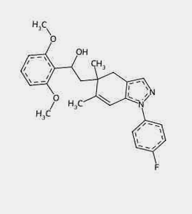 COc1cccc(OC)c1C(O)CC1(C)Cc2cnn(-c3ccc(F)cc3)c2C=C1C